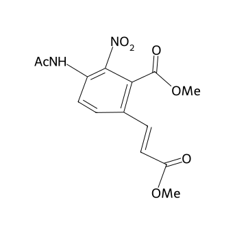 COC(=O)C=Cc1ccc(NC(C)=O)c([N+](=O)[O-])c1C(=O)OC